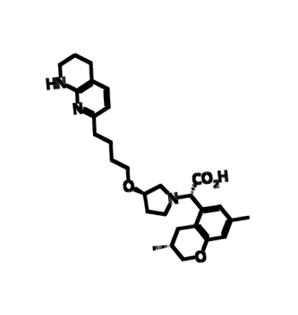 Cc1cc2c(c([C@@H](C(=O)O)N3CC[C@@H](OCCCCc4ccc5c(n4)NCCC5)C3)c1)C[C@@H](C)CO2